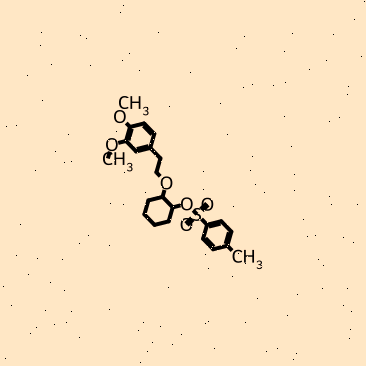 COc1ccc(CCOC2CCCCC2OS(=O)(=O)c2ccc(C)cc2)cc1OC